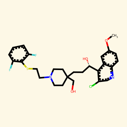 COc1ccc2ncc(Cl)c([C@@H](O)CCC3(CO)CCN(CCSc4c(F)cccc4F)CC3)c2c1